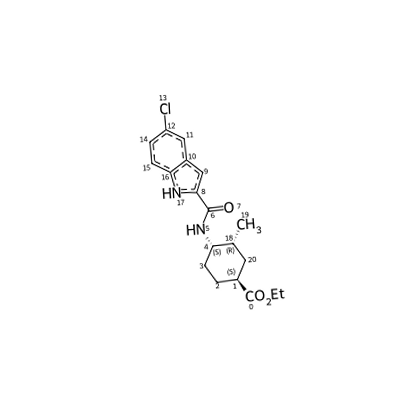 CCOC(=O)[C@H]1CC[C@H](NC(=O)c2cc3cc(Cl)ccc3[nH]2)[C@H](C)C1